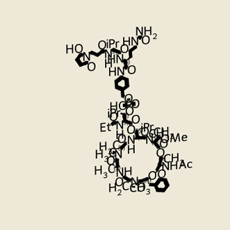 C=C1C(=O)N[C@@H](C)C(=O)N(C)[C@@H](C)C(=O)N[C@@H]([C@H](OC(=O)[C@@H](NC(=O)CC)[C@H](OP(=O)(O)OCc2ccc(NC(=O)[C@H](CCCNC(N)=O)NC(=O)[C@@H](NC(=O)CCN3C(=O)C=CC3O)C(C)C)cc2)C(C)C)C(C)C)C(=O)N(C)[C@@H]([C@@H](C)OC)C(=O)O[C@H](C)[C@H](NC(C)=O)C(=O)O[C@H](Cc2ccccc2)C(=O)N1C